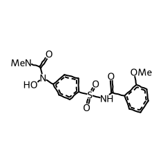 CNC(=O)N(O)c1ccc(S(=O)(=O)NC(=O)c2ccccc2OC)cc1